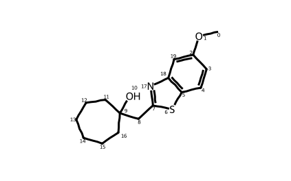 COc1ccc2sc(CC3(O)CCCCCC3)nc2c1